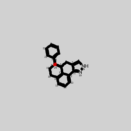 c1ccc(CC23Cc4c[nH]nc4-c4cccc(c42)CCN3)cc1